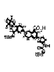 CC(C)(C)OC(=O)N[C@H]1CCN(c2cc3c(c(C(=O)O)c2)CN(c2ccc(B4OC(C)(C)C(C)(C)O4)c(C(=O)OC(C)(C)C)n2)CC3)C1